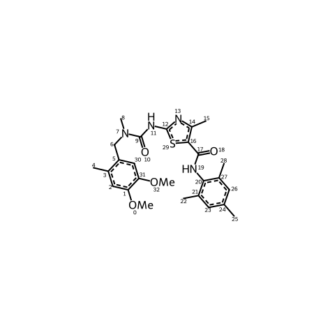 COc1cc(C)c(CN(C)C(=O)Nc2nc(C)c(C(=O)Nc3c(C)cc(C)cc3C)s2)cc1OC